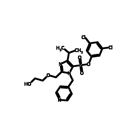 CC(C)c1nc(COCCO)n(Cc2ccncc2)c1S(=O)(=O)Oc1cc(Cl)cc(Cl)c1